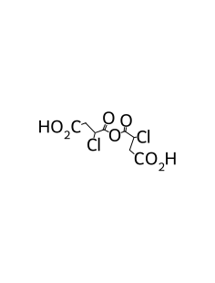 O=C(O)CC(Cl)C(=O)OC(=O)C(Cl)CC(=O)O